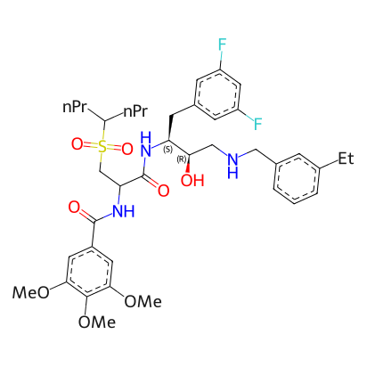 CCCC(CCC)S(=O)(=O)CC(NC(=O)c1cc(OC)c(OC)c(OC)c1)C(=O)N[C@@H](Cc1cc(F)cc(F)c1)[C@H](O)CNCc1cccc(CC)c1